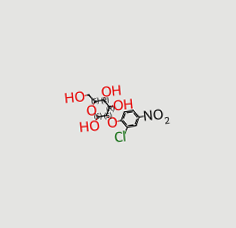 O=[N+]([O-])c1ccc(O[C@H]2[C@H](O)[C@@H](O)[C@H](CO)O[C@@H]2O)c(Cl)c1